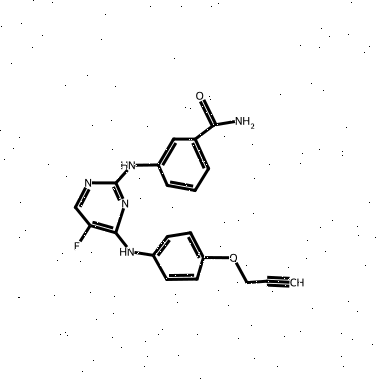 C#CCOc1ccc(Nc2nc(Nc3cccc(C(N)=O)c3)ncc2F)cc1